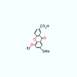 CCOc1cc(SC)cc2c(=O)c3cc(C(=O)O)ccc3oc12